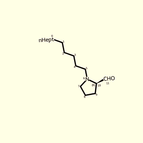 CCCCCCCCCCCCN1CCC[C@@H]1C=O